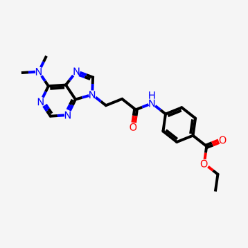 CCOC(=O)c1ccc(NC(=O)CCn2cnc3c(N(C)C)ncnc32)cc1